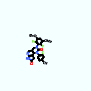 COc1cc(OC)c(F)c(N2Cc3cnc4c(c3N(c3ccc(C#N)cc3F)C2=O)CC(=O)N4)c1F